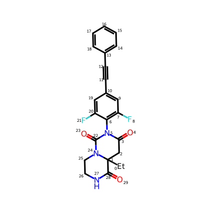 CCC12CC(=O)N(c3c(F)cc(C#Cc4ccccc4)cc3F)C(=O)N1CCNC2=O